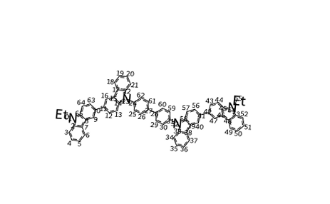 CCn1c2ccccc2c2cc(-c3ccc4c(c3)c3ccccc3n4-c3ccc(-c4ccc(-n5c6ccccc6c6cc(-c7ccc8c(c7)c7ccccc7n8CC)ccc65)cc4)cc3)ccc21